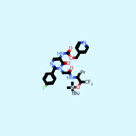 CC(C)C(NC(=O)Cn1c(-c2ccc(F)cc2)ncc(NC(=O)OCc2ccncc2)c1=O)C(O[Si](C)(C)C(C)(C)C)C(F)(F)F